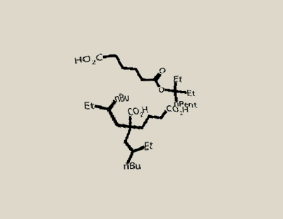 CCCCC(CC)CC(CCCC(=O)O)(CC(CC)CCCC)C(=O)O.CCCCCC(CC)(CC)OC(=O)CCCCC(=O)O